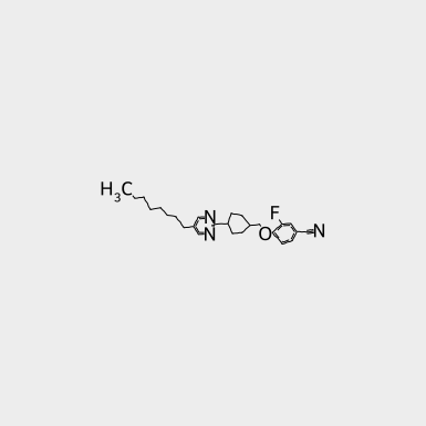 CCCCCCCCc1cnc(C2CCC(COc3ccc(C#N)cc3F)CC2)nc1